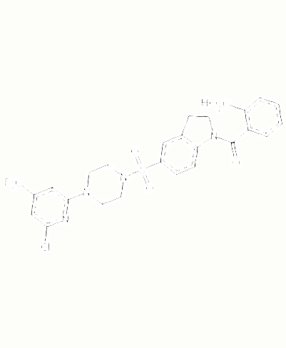 O=C(O)c1ccccc1C(=O)N1CCc2cc(S(=O)(=O)N3CCN(c4cc(C(F)(F)F)cc(Cl)n4)CC3)ccc21